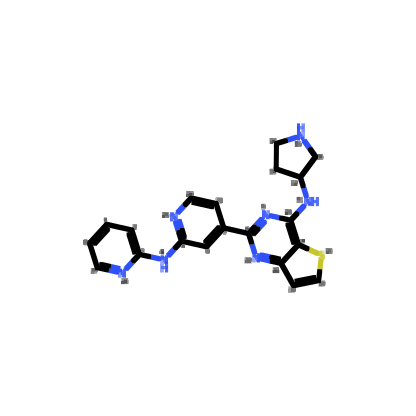 c1ccc(Nc2cc(-c3nc(NC4CCNC4)c4sccc4n3)ccn2)nc1